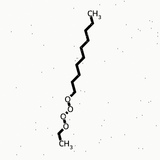 CCCCCCCCCCOOOOCC